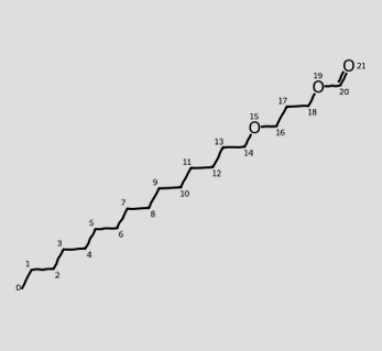 CCCCCCCCCCCCCCCOCCCOC=O